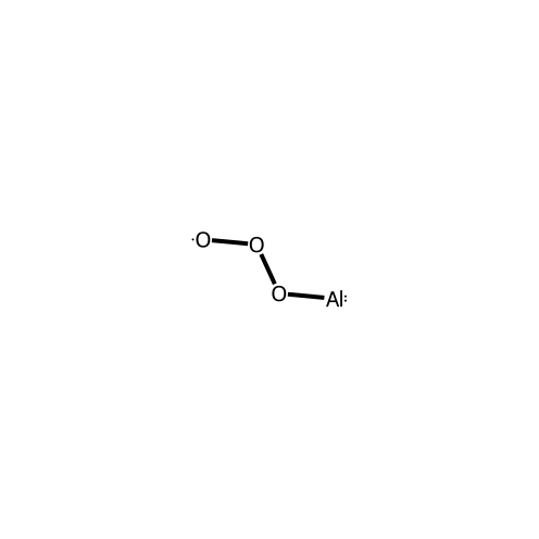 [O]O[O][Al]